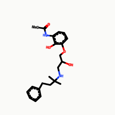 COC(=O)Nc1cccc(OCC(O)CNC(C)(C)CCc2ccccc2)c1O